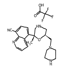 C[C@@]1(c2ccc(C#N)c3ncccc23)CNC[C@@H](CN2CCNCC2)O1.O=C(O)C(F)(F)F